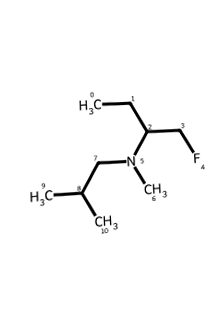 CCC(CF)N(C)CC(C)C